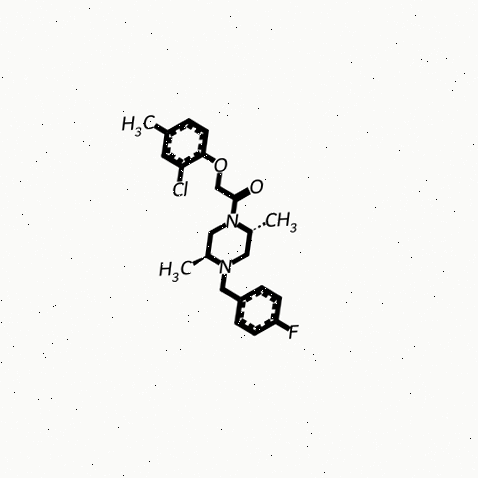 Cc1ccc(OCC(=O)N2C[C@H](C)N(Cc3ccc(F)cc3)C[C@H]2C)c(Cl)c1